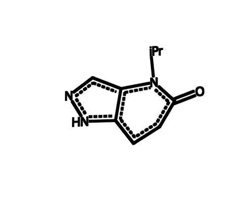 CC(C)n1c(=O)ccc2[nH]ncc21